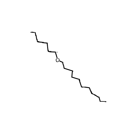 CCCCC[CH]OCCCCCCCCCCC